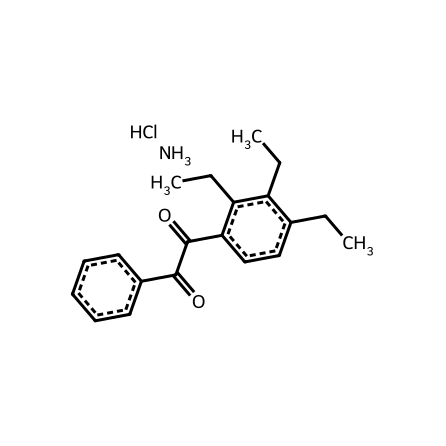 CCc1ccc(C(=O)C(=O)c2ccccc2)c(CC)c1CC.Cl.N